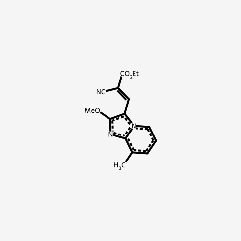 CCOC(=O)/C(C#N)=C/c1c(OC)nc2c(C)cccn12